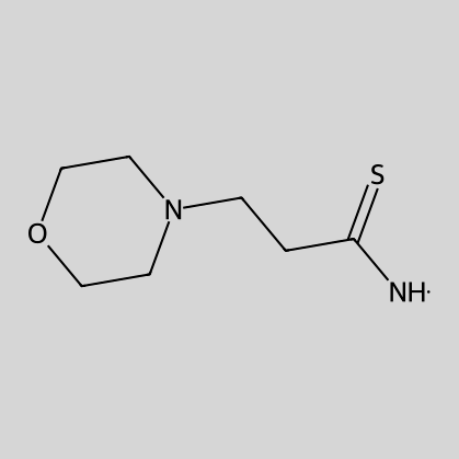 [NH]C(=S)CCN1CCOCC1